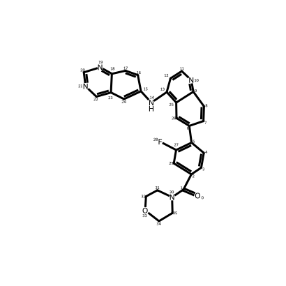 O=C(c1ccc(-c2ccc3nccc(Nc4ccc5ncncc5c4)c3c2)c(F)c1)N1CCOCC1